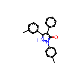 Cc1ccc(-n2[nH]c(-c3cccc(C)c3)c(-c3ccccc3)c2=O)cc1